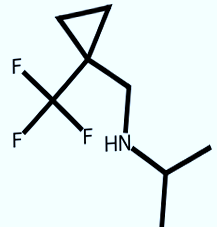 CC(C)NCC1(C(F)(F)F)CC1